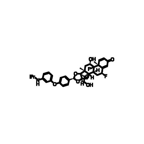 CC(C)Nc1cccc(Oc2ccc([C@H]3O[C@@H]4C[C@H]5[C@@H]6C[C@H](F)C7=CC(=O)C=C[C@]7(C)[C@@]6(F)[C@@H](O)C[C@]5(C)[C@]4(C(=O)CO)O3)cc2)c1